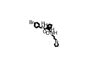 O=C(NCCCCN1CCCC1)[C@H]1[C@H](C(=O)NCc2ccc(Br)cc2)[C@@H]2C=C[C@H]1C21CC1